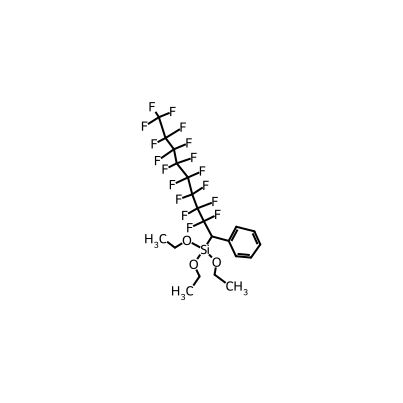 CCO[Si](OCC)(OCC)C(c1ccccc1)C(F)(F)C(F)(F)C(F)(F)C(F)(F)C(F)(F)C(F)(F)C(F)(F)C(F)(F)F